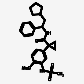 COc1ccc(C2(C(=O)NC(CN3CCCC3)c3ccccc3)CC2)cc1NS(C)(=O)=O